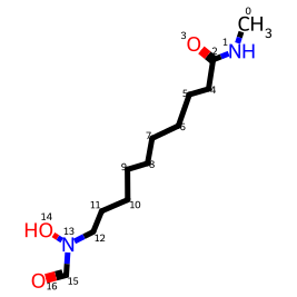 CNC(=O)CCCCCCCCCN(O)C=O